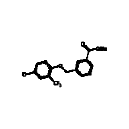 COC(=O)c1cccc(COc2ccc(Cl)cc2C(F)(F)F)c1